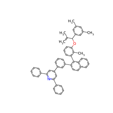 C=C(C)C(Oc1cccc(-c2c(-c3cccc(-c4cc(-c5ccccc5)nc(-c5ccccc5)c4)c3)ccc3ccccc23)c1C)c1cc(C)cc(C)c1